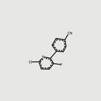 N#Cc1ccc(-c2nc(Cl)ccc2F)cc1